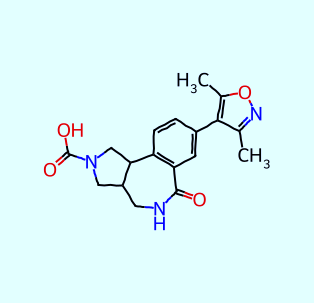 Cc1noc(C)c1-c1ccc2c(c1)C(=O)NCC1CN(C(=O)O)CC21